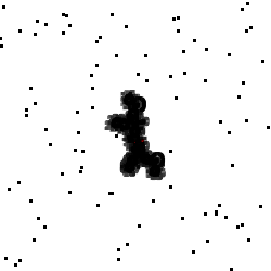 CCCC1(N(c2ccc(C(=O)c3ccccc3)cc2)c2ccc3ccccc3c2)c2cc3c(cc21)C(C)(C)c1cc(C(C)(CC)N(c2ccc(C(=O)c4ccccc4)cc2)c2ccc4ccccc4c2)ccc1-3